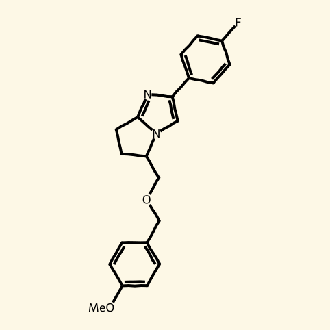 COc1ccc(COCC2CCc3nc(-c4ccc(F)cc4)cn32)cc1